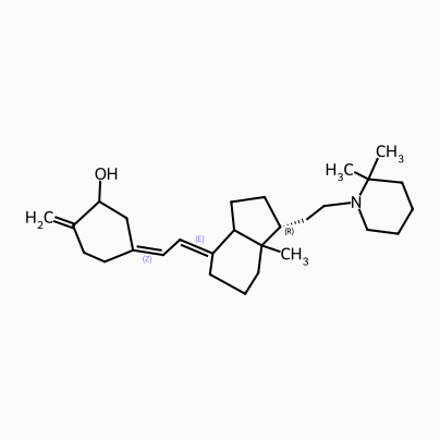 C=C1CC/C(=C/C=C2\CCCC3(C)C2CC[C@@H]3CCN2CCCCC2(C)C)CC1O